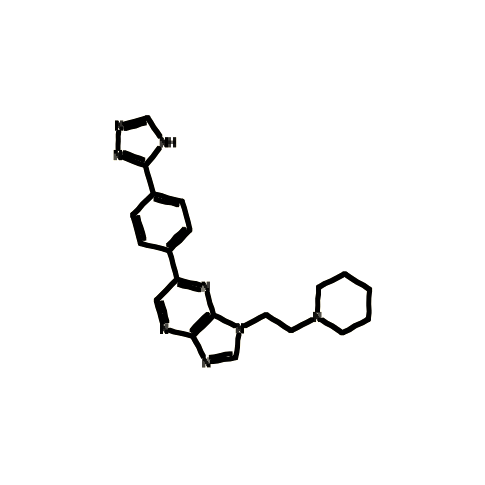 c1nnc(-c2ccc(-c3cnc4ncn(CCN5CCCCC5)c4n3)cc2)[nH]1